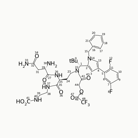 CC(C)(C)[C@H](c1cc(-c2cc(F)ccc2F)cn1Cc1ccccc1)N(CC[C@H](NC(=O)[C@@H](N)CC(N)=O)C(=O)NCCNC(=O)O)C(=O)COC(=O)C(F)(F)F